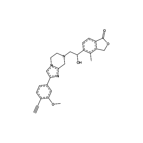 C#Cc1ccc(-c2cn3c(n2)CN(CC(O)c2ccc4c(c2C)COC4=O)CC3)cc1OC